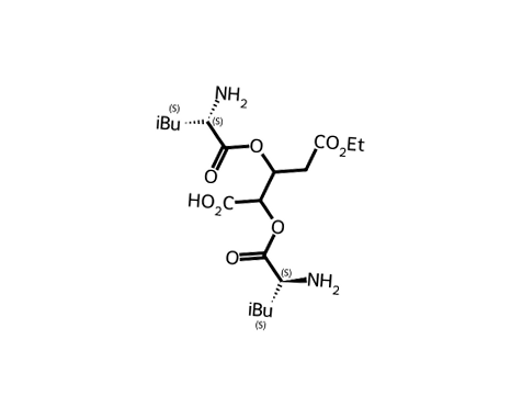 CCOC(=O)CC(OC(=O)[C@@H](N)[C@@H](C)CC)C(OC(=O)[C@@H](N)[C@@H](C)CC)C(=O)O